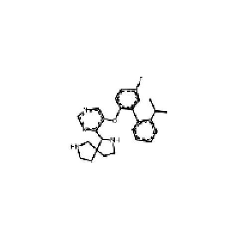 CC(C)c1ccccc1-c1cc(F)ccc1Oc1cncnc1C1NCCC12CCNC2